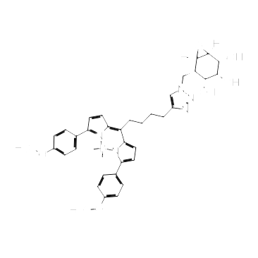 COc1ccc(C2=[N+]3C(=C(CCCCc4cn(C[C@@H]5[C@@H](O)[C@H](O)[C@@H](O)[C@@H]6O[C@H]56)nn4)c4ccc(-c5ccc(OC)cc5)n4[B-]3(F)F)C=C2)cc1